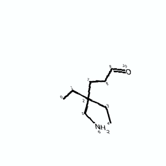 CCC(CC)(CN)CCC=O